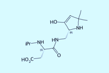 CC(C)N[C@@H](CC(=O)O)C(=O)NC[C@H]1NC(C)(C)C=C1O